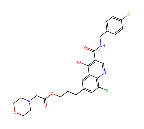 O=C(CN1CCOCC1)OCCCc1cc(F)c2ncc(C(=O)NCc3ccc(Cl)cc3)c(O)c2c1